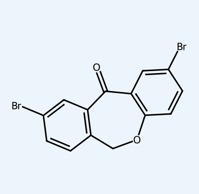 O=C1c2cc(Br)ccc2COc2ccc(Br)cc21